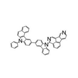 c1ccc(-n2c3ccc(-c4ccc5c(c4)c4ccccc4n5-c4ncc5c6c(cccc46)-c4ccncc4-5)cc3c3c4ccccc4ccc32)cc1